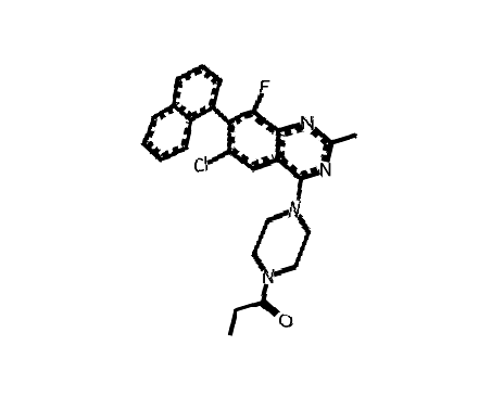 CCC(=O)N1CCN(c2nc(C)nc3c(F)c(-c4cccc5ccccc45)c(Cl)cc23)CC1